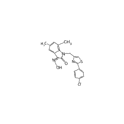 Cc1cc(C)c2c(c1)/C(=N/O)C(=O)N2Cc1csc(-c2ccc(Cl)cc2)n1